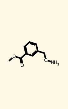 COC(=O)c1cccc(CON)c1